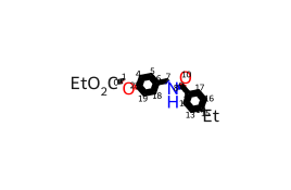 CCOC(=O)COc1ccc(CNC(=O)c2ccc(CC)cc2)cc1